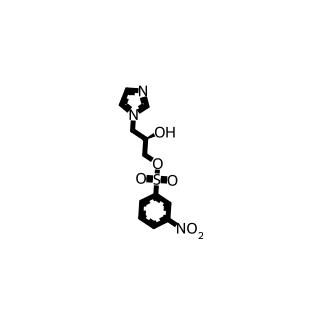 O=[N+]([O-])c1cccc(S(=O)(=O)OC[C@H](O)Cn2ccnc2)c1